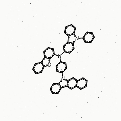 c1ccc(-n2c3ccccc3c3cc(N(c4ccc(-n5c6ccccc6c6cc7ccccc7cc65)cc4)c4cccc5c4oc4ccccc45)ccc32)cc1